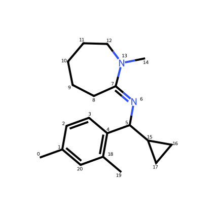 Cc1ccc(C(N=C2CCCCCN2C)C2CC2)c(C)c1